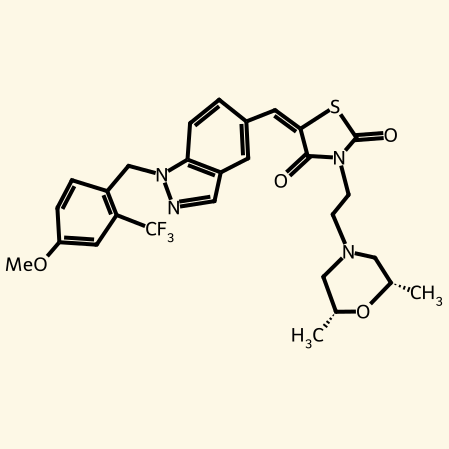 COc1ccc(Cn2ncc3cc(C=C4SC(=O)N(CCN5C[C@@H](C)O[C@@H](C)C5)C4=O)ccc32)c(C(F)(F)F)c1